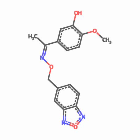 COc1ccc(C(C)=NOCc2ccc3nonc3c2)cc1O